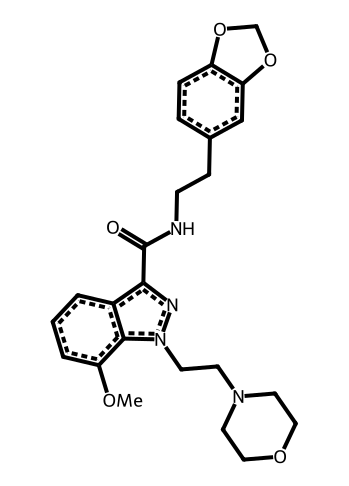 COc1cccc2c(C(=O)NCCc3ccc4c(c3)OCO4)nn(CCN3CCOCC3)c12